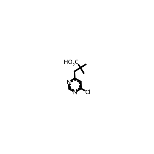 CC(C)(Cc1cc(Cl)ncn1)C(=O)O